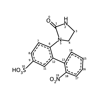 O=C1NCCN1c1ccc(S(=O)(=O)O)cc1-c1ccccc1[N+](=O)[O-]